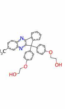 Cc1ccc2nc3c(nc2c1)C(c1ccc(OCCO)cc1)(c1ccc(OCCO)cc1)c1ccccc1-3